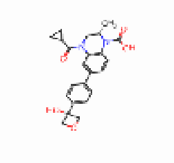 C[C@H]1CN(C(=O)C2CC2)c2cc(-c3ccc(C4(O)COC4)cc3)ccc2N1C(=O)O